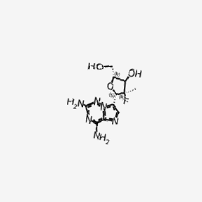 C[C@@]1(F)C(O)[C@@H](CO)O[C@H]1c1cnc2c(N)nc(N)nn12